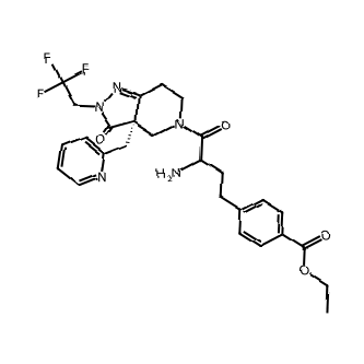 CCOC(=O)c1ccc(CCC(N)C(=O)N2CCC3=NN(CC(F)(F)F)C(=O)[C@]3(Cc3ccccn3)C2)cc1